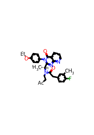 CCOc1ccc(-n2c([C@@H](C)N(CCC(C)=O)C(=O)Cc3ccc(F)c(C)c3)nc3ncccc3c2=O)cc1